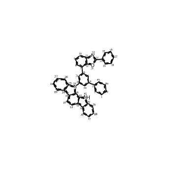 c1ccc(-c2cc(-c3cccc4nc(-c5ccccc5)oc34)cc(-n3c4ccccc4c4ccc5c6ccccc6[nH]c5c43)c2)cc1